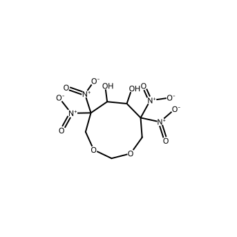 O=[N+]([O-])C1([N+](=O)[O-])COCOCC([N+](=O)[O-])([N+](=O)[O-])C(O)C1O